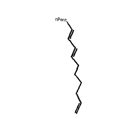 C=CCCCCC=CC=CCCCCC